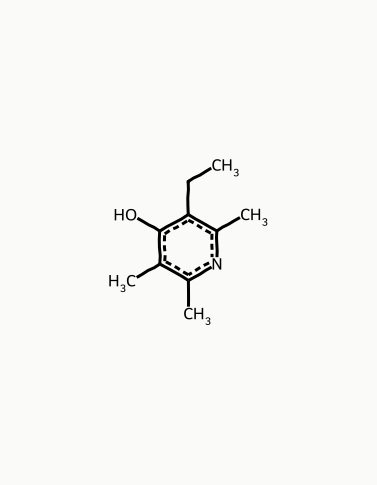 CCc1c(C)nc(C)c(C)c1O